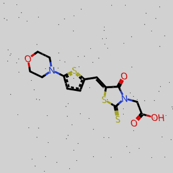 O=C(O)CN1C(=O)C(=Cc2ccc(N3CCOCC3)s2)SC1=S